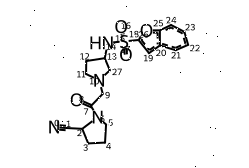 N#CC1CCCN1C(=O)CN1CCC(NS(=O)(=O)c2cc3ccccc3o2)C1